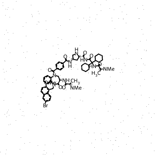 CN[C@@H](C)C(=O)N[C@H]1CN(C(=O)c2ccc(C(=O)N[C@@H]3CN[C@H](C(=O)NC(=O)C(NC(=O)[C@H](C)NC)(C4CCCCC4)C4CCCCC4)C3)cc2)c2ccccc2N(Cc2c(OC)ccc3cc(Br)ccc23)C1=O